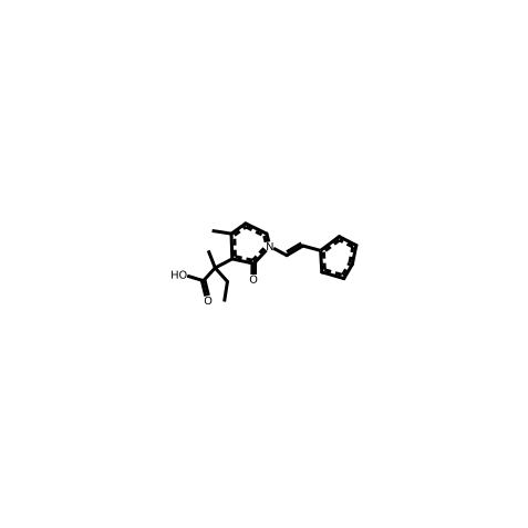 CCC(C)(C(=O)O)c1c(C)ccn(C=Cc2ccccc2)c1=O